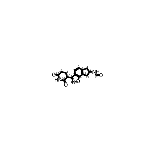 O=CNC1Cc2ccc3c(C4CCC(=O)NC4=O)noc3c2C1